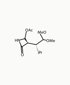 COC(OC)[C@H](C(C)C)[C@H]1C(=O)NC1OC(C)=O